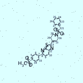 CS(=O)(=O)c1ccc(-c2ccc3nc(C4=CCN(S(=O)(=O)Cc5ccccc5)CC4)sc3n2)cc1